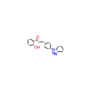 O=C(/C=C/c1ccc(-n2nnc3ccccc32)cc1)c1ccccc1O